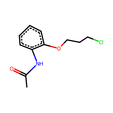 CC(=O)Nc1c[c]ccc1OCCCCl